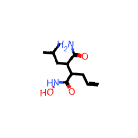 C=CCC(C(=O)NO)C(CC(C)C)C(N)=O